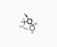 CC.N#Cc1ccc(C2(O)CCNCC2)cc1C(F)(F)F